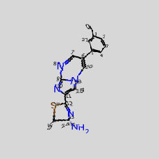 Cc1cccc(-c2cnc3nc(C4=N[C@H](N)CS4)cn3c2)c1